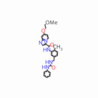 COCCOc1ccn2c(C(=O)Nc3cc(CNC(=O)Nc4ccccc4)ccc3C)cnc2c1